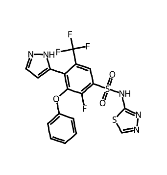 O=S(=O)(Nc1nncs1)c1cc(C(F)(F)F)c(-c2ccn[nH]2)c(Oc2ccccc2)c1F